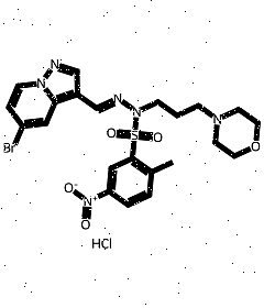 Cc1ccc([N+](=O)[O-])cc1S(=O)(=O)N(CCCN1CCOCC1)N=Cc1cnn2ccc(Br)cc12.Cl